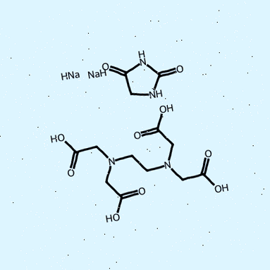 O=C(O)CN(CCN(CC(=O)O)CC(=O)O)CC(=O)O.O=C1CNC(=O)N1.[NaH].[NaH]